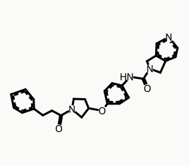 O=C(CCc1ccccc1)N1CCC(Oc2ccc(NC(=O)N3Cc4ccncc4C3)cc2)C1